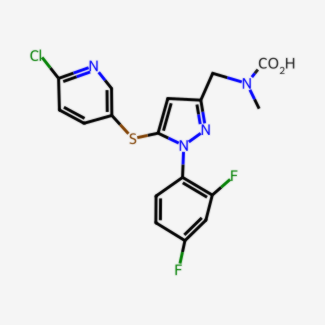 CN(Cc1cc(Sc2ccc(Cl)nc2)n(-c2ccc(F)cc2F)n1)C(=O)O